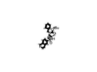 C[C@H](CN(Cc1ccccc1)C(=O)OC(C)(C)C)NS(=O)(=O)c1ccc2cnccc2c1